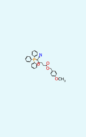 COc1ccc(COC(=O)CCC(=O)C(C#N)=P(c2ccccc2)(c2ccccc2)c2ccccc2)cc1